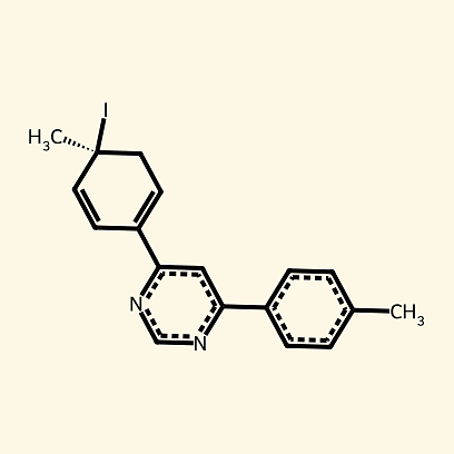 Cc1ccc(-c2cc(C3=CC[C@](C)(I)C=C3)ncn2)cc1